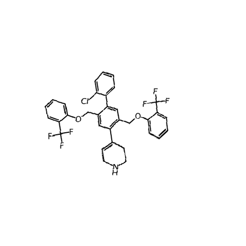 FC(F)(F)c1ccccc1OCc1cc(-c2ccccc2Cl)c(COc2ccccc2C(F)(F)F)cc1C1=CCNCC1